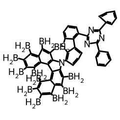 Bc1c(B)c(B)c2c(c1B)c(B)c(B)c1c2c2c3c(B)c(B)c(B)c(B)c3c(B)c(B)c2n1-c1cccc2c1sc1cccc(-c3nc(-c4ccccc4)nc(-c4ccccc4)n3)c12